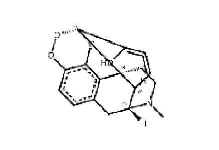 CN1CC[C@]23c4c5ccc6c4O[C@@]2(OO6)C(O)=C=C[C@H]3[C@H]1C5